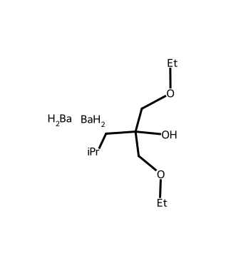 CCOCC(O)(COCC)CC(C)C.[BaH2].[BaH2]